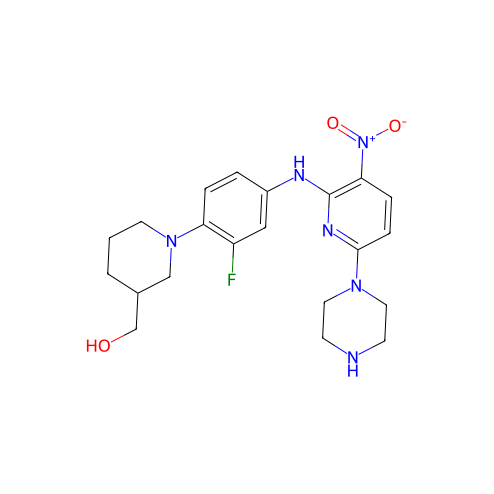 O=[N+]([O-])c1ccc(N2CCNCC2)nc1Nc1ccc(N2CCCC(CO)C2)c(F)c1